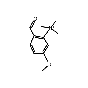 COc1ccc(C=O)c([N+](C)(C)C)c1